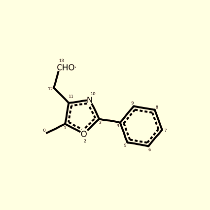 Cc1oc(-c2ccccc2)nc1C[C]=O